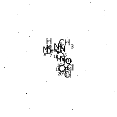 Cc1nc2c(c(-c3ccn[nH]3)n1)CCN(C(=O)c1cccc(Cl)c1Cl)C2